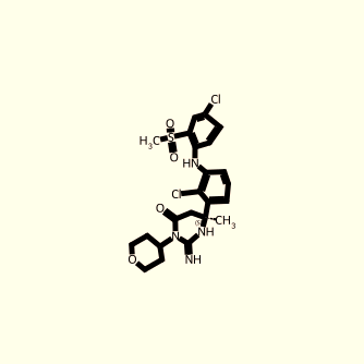 C[C@@]1(c2cccc(Nc3ccc(Cl)cc3S(C)(=O)=O)c2Cl)CC(=O)N(C2CCOCC2)C(=N)N1